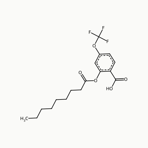 CCCCCCCCC(=O)Oc1cc(OC(F)(F)F)ccc1C(=O)O